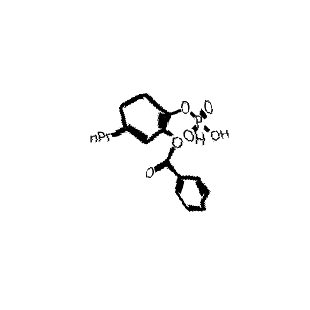 CCCc1ccc(OP(=O)(O)O)c(OC(=O)c2ccccc2)c1